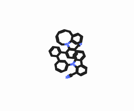 N#Cc1cccc(C2=CC=CCC2C2=CC(n3c4ccccc4c4cccc(C#N)c43)=CC=CC2)c1N1C/C=C\C=C/Cc2ccccc21